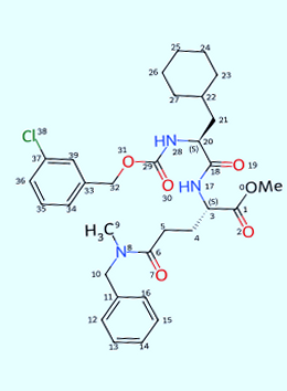 COC(=O)[C@H](CCC(=O)N(C)Cc1ccccc1)NC(=O)[C@H](CC1CCCCC1)NC(=O)OCc1cccc(Cl)c1